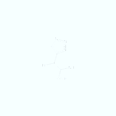 CCCC(c1cn[nH]c1)C(N)C(=O)O